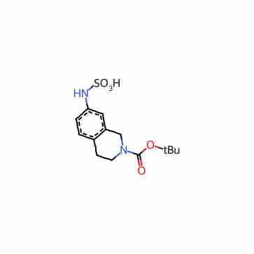 CC(C)(C)OC(=O)N1CCc2ccc(NS(=O)(=O)O)cc2C1